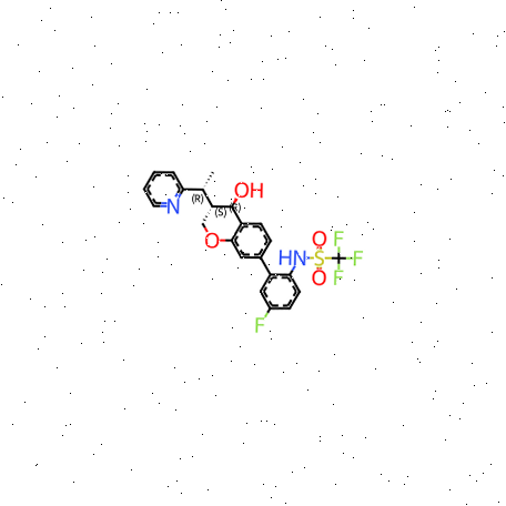 C[C@@H](c1ccccn1)[C@H]1COc2cc(-c3cc(F)ccc3NS(=O)(=O)C(F)(F)F)ccc2[C@@H]1O